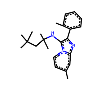 Cc1ccn2c(NC(C)(C)CC(C)(C)C)c(-c3ccccc3C)nc2c1